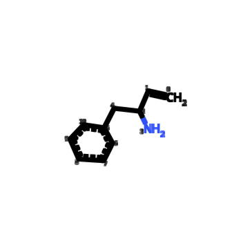 C=CC(N)Cc1ccccc1